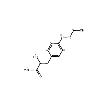 COC(=O)C(O)Cc1ccc(OCCO)cc1